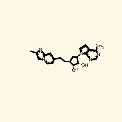 Cc1cn2ccc(CC[C@H]3C[C@@H](n4ccc5c(N)ncnc54)[C@H](O)[C@@H]3O)cc2n1